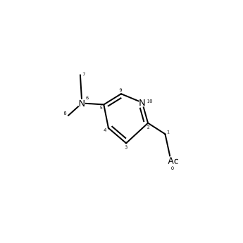 CC(=O)Cc1ccc(N(C)C)cn1